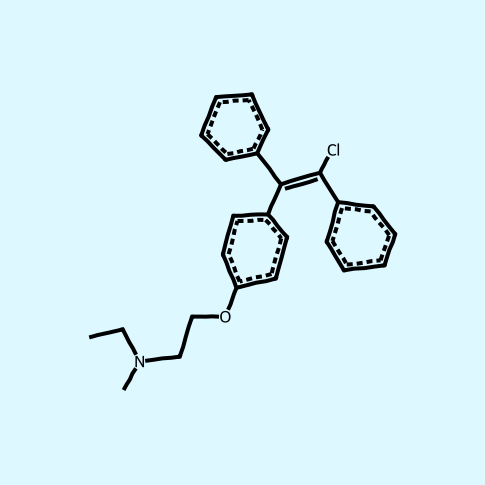 CCN(C)CCOc1ccc(/C(=C(/Cl)c2ccccc2)c2ccccc2)cc1